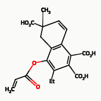 C=CC(=O)Oc1c2c(c(C(=O)O)c(C(=O)O)c1CC)C=CC(C)(C(=O)O)C2